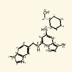 Cn1cnc2cc(CNc3cc(N[C@H]4CCCC[C@H]4CO)nc4c(Br)cnn34)ccc21